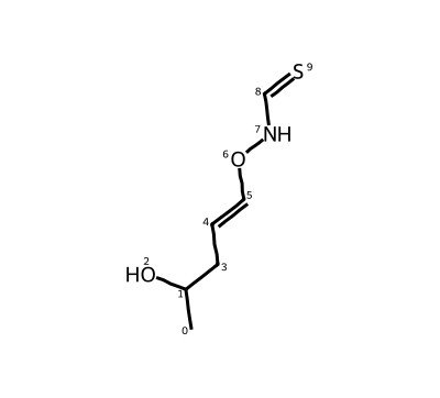 CC(O)C/C=C/ONC=S